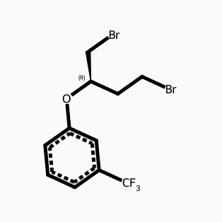 FC(F)(F)c1cccc(O[C@@H](CBr)CCBr)c1